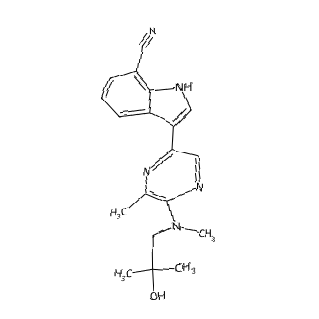 Cc1nc(-c2c[nH]c3c(C#N)cccc23)cnc1N(C)CC(C)(C)O